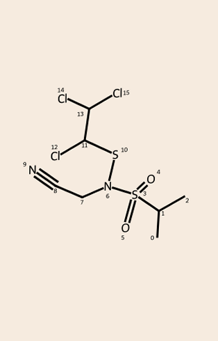 CC(C)S(=O)(=O)N(CC#N)SC(Cl)C(Cl)Cl